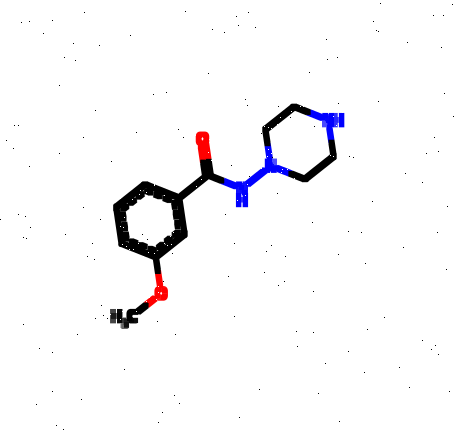 COc1cccc(C(=O)NN2CCNCC2)c1